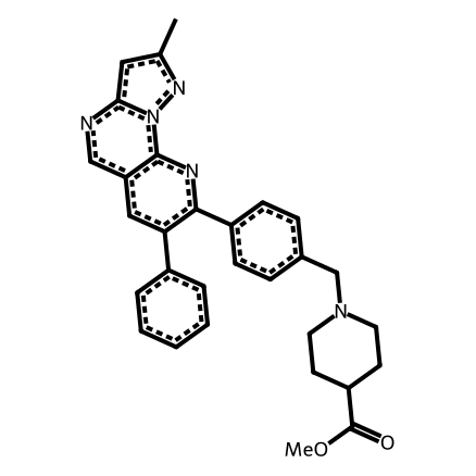 COC(=O)C1CCN(Cc2ccc(-c3nc4c(cnc5cc(C)nn54)cc3-c3ccccc3)cc2)CC1